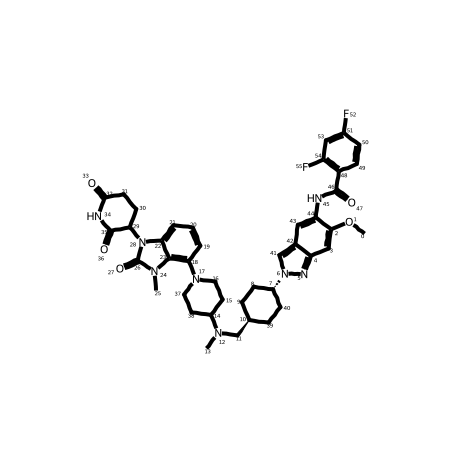 COc1cc2nn([C@H]3CC[C@H](CN(C)C4CCN(c5cccc6c5n(C)c(=O)n6C5CCC(=O)NC5=O)CC4)CC3)cc2cc1NC(=O)c1ccc(F)cc1F